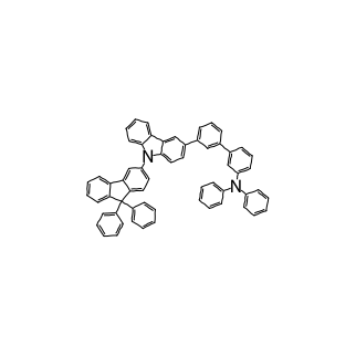 c1ccc(N(c2ccccc2)c2cccc(-c3cccc(-c4ccc5c(c4)c4ccccc4n5-c4ccc5c(c4)-c4ccccc4C5(c4ccccc4)c4ccccc4)c3)c2)cc1